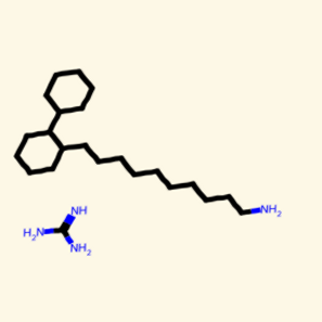 N=C(N)N.NCCCCCCCCCCC1CCCCC1C1CCCCC1